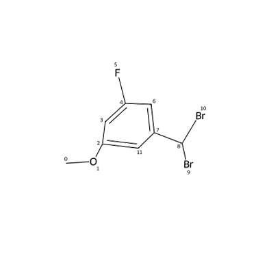 COc1cc(F)cc(C(Br)Br)c1